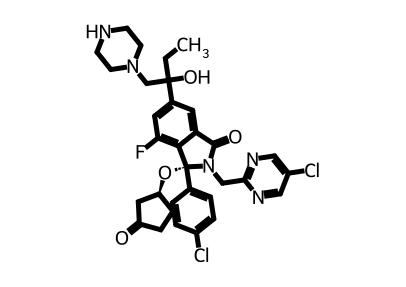 CCC(O)(CN1CCNCC1)c1cc(F)c2c(c1)C(=O)N(Cc1ncc(Cl)cn1)[C@@]2(O[C@H]1CCC(=O)C1)c1ccc(Cl)cc1